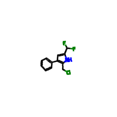 FC(F)c1cc(-c2ccccc2)c(CCl)[nH]1